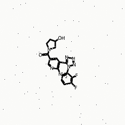 Nc1ncc(C(=O)N2CCC(O)C2)cc1-c1nnnn1-c1cccc(F)c1F